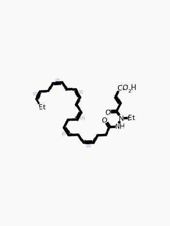 CC/C=C\C/C=C\C/C=C\C/C=C\C/C=C\C/C=C\CCC(=O)NN(CC)C(=O)C=CC(=O)O